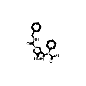 CCC(=O)N(c1ccccc1)c1n[nH]c2c1CN(C(=O)NCc1ccccc1)C2